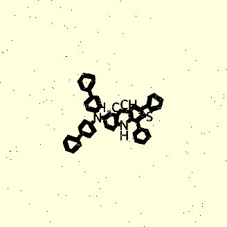 CC1(C)c2cc(N(c3ccc(-c4ccccc4)cc3)c3ccc(-c4ccccc4)cc3)ccc2Nc2c1cc1c(sc3ccccc31)c2-c1ccccc1